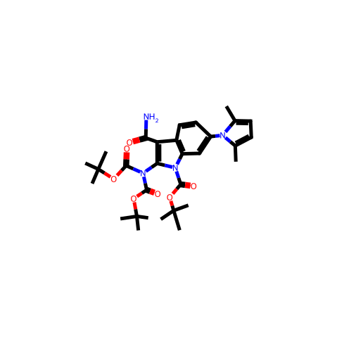 Cc1ccc(C)n1-c1ccc2c(C(N)=O)c(N(C(=O)OC(C)(C)C)C(=O)OC(C)(C)C)n(C(=O)OC(C)(C)C)c2c1